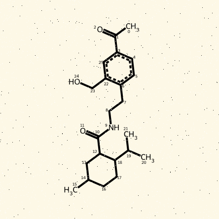 CC(=O)c1ccc(CCNC(=O)C2CC(C)CCC2C(C)C)c(CO)c1